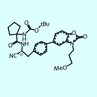 COCCCn1c(=O)oc2ccc(-c3ccc(C[C@@H](C#N)NC(=O)C4(NC(=O)OC(C)(C)C)CCCC4)cc3)cc21